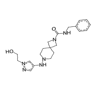 O=C(NCc1ccccc1)N1CC2(CCN(Nc3cnn(CCO)c3)CC2)C1